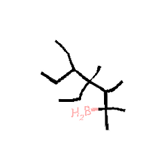 BC(C)(C)C(C)[C@](C)(CC)C(CC)CC